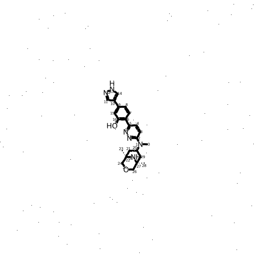 CN(c1ccc(-c2ccc(-c3cn[nH]c3)cc2O)nn1)C1C[C@]2(C)COC[C@](C)(C1)N2